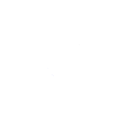 CCCC(C)c1n[nH]c2ccccc12